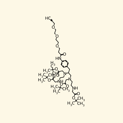 C#CCOCCOCCOCCC(=O)Nc1ccc(CC(CN(CCNCC(=O)OC(C)(C)C)CC(=O)OC(C)(C)C)N(CCNCC(=O)OC(C)(C)C)CC(=O)OC(C)(C)C)cc1